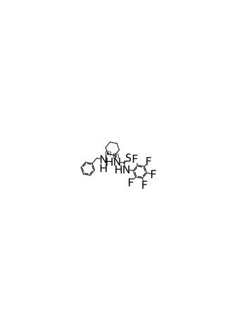 Fc1c(F)c(F)c(NC(=S)N[C@@H]2CCCC[C@H]2NCc2ccccc2)c(F)c1F